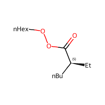 CCCCCCOOC(=O)[C@@H](CC)CCCC